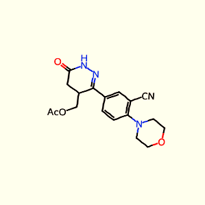 CC(=O)OCC1CC(=O)NN=C1c1ccc(N2CCOCC2)c(C#N)c1